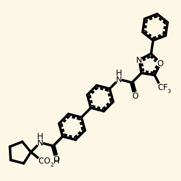 O=C(NC1(C(=O)O)CCCC1)c1ccc(-c2ccc(NC(=O)c3nc(-c4ccccc4)oc3C(F)(F)F)cc2)cc1